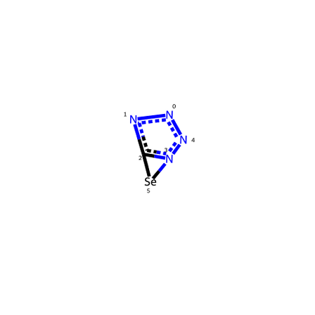 n1nc2n(n1)[Se]2